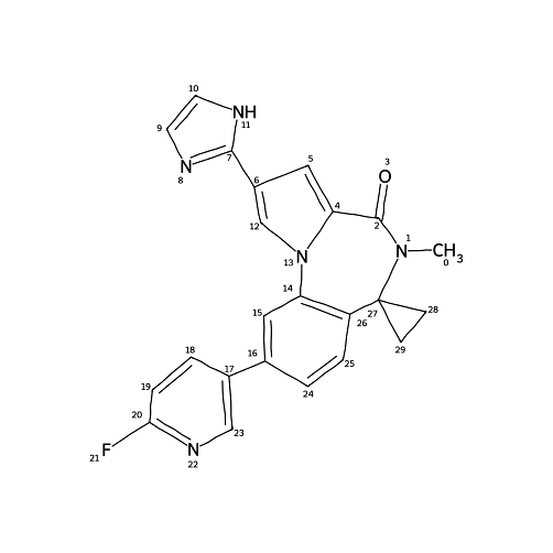 CN1C(=O)c2cc(-c3ncc[nH]3)cn2-c2cc(-c3ccc(F)nc3)ccc2C12CC2